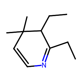 CCC1=NC=CC(C)(C)C1CC